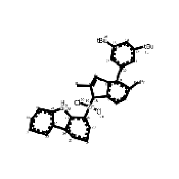 CC1=Cc2c(ccc(C(C)C)c2-c2cc(C(C)(C)C)cc(C(C)(C)C)c2)[CH]1[Zr]([Cl])([Cl])[c]1cccc2c1[SiH2]c1ccccc1-2